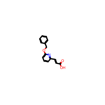 O=C(O)/C=C/c1cccc(OCc2ccccc2)n1